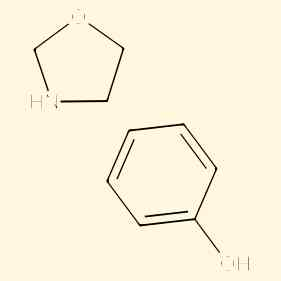 C1COCN1.Oc1ccccc1